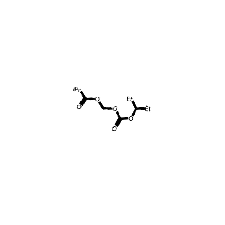 CCC(CC)OC(=O)OCOC(=O)C(C)C